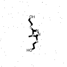 Cn1c(SCCO)nnc1SCCO